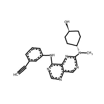 C#Cc1cccc(Nc2ncnc3cnc(N(C)[C@H]4CC[C@H](O)CC4)nc23)c1